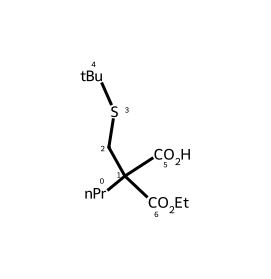 CCCC(CSC(C)(C)C)(C(=O)O)C(=O)OCC